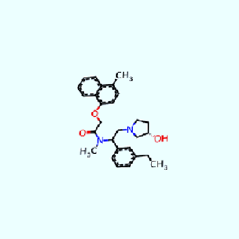 CCc1cccc(C(CN2CC[C@H](O)C2)N(C)C(=O)COc2ccc(C)c3ccccc23)c1